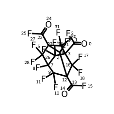 O=C(F)C12C(F)(F)C3(F)C(F)(F)C(C(=O)F)(C1(F)F)C(F)(F)C(C(=O)F)(C3(F)F)C2(F)F